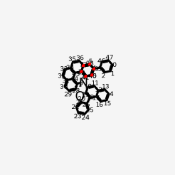 c1ccc(-c2cccc(N(c3cc4ccccc4c4c3oc3ccccc34)c3cccc4ccc5ccc6ccccc6c5c34)c2)cc1